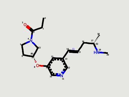 CCC(=O)N1CC[C@@H](Oc2cncc(/C=C/C[C@H](C)NC)c2)C1